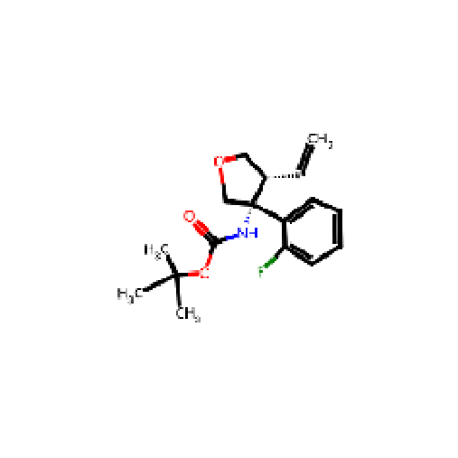 C=C[C@H]1COC[C@]1(NC(=O)OC(C)(C)C)c1ccccc1F